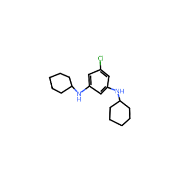 Clc1cc(NC2CCCCC2)cc(NC2CCCCC2)c1